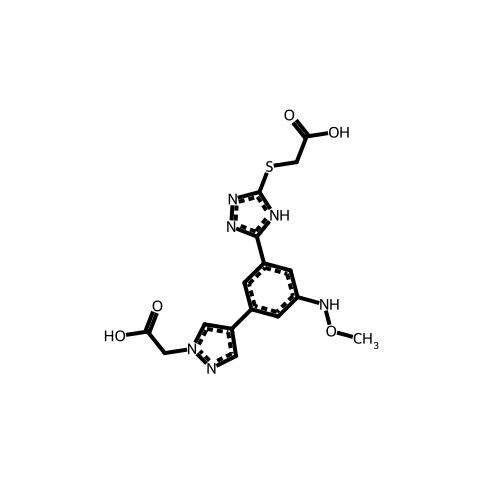 CONc1cc(-c2cnn(CC(=O)O)c2)cc(-c2nnc(SCC(=O)O)[nH]2)c1